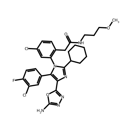 COCCCNC(=O)Cc1ccc(Cl)cc1-n1c(C2CCCCC2)nc(-c2nnc(N)o2)c1-c1ccc(F)c(Cl)c1